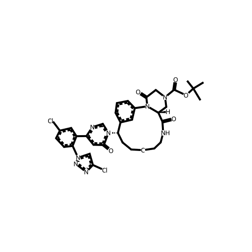 CC(C)(C)OC(=O)N1CC(=O)N2c3cccc(c3)[C@@H](n3cnc(-c4cc(Cl)ccc4-n4cc(Cl)nn4)cc3=O)CCCCCNC(=O)[C@H]2C1